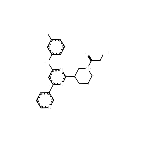 CCC(=O)N1CCCC(c2nc(Nc3cccc(F)c3)cc(-c3cccnc3)n2)C1